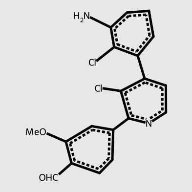 COc1cc(-c2nccc(-c3cccc(N)c3Cl)c2Cl)ccc1C=O